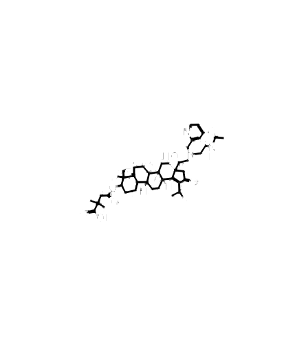 CC(=O)NCCN(Cc1ccccn1)C[C@H](O)[C@@]12CC[C@]3(C)[C@H](CC[C@@H]4[C@@]5(C)CCC(OC(=O)CC(C)(C)C(=O)O)C(C)(C)[C@@H]5CC[C@]43C)C1=C(C(C)C)C(=O)C2